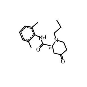 CCCN1CCC(=O)C[C@H]1C(=O)Nc1c(C)cccc1C